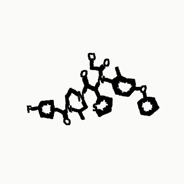 Cc1cc(Oc2ccccc2)ccc1N(C(=O)CCl)C(C(=O)N1CCN(C(=O)c2ccc(F)cc2)C(C)C1)c1cccs1